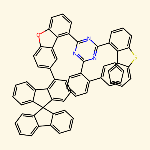 c1ccc(-c2ccccc2-c2nc(-c3cccc4oc5ccc(-c6cccc7c6-c6ccccc6C76c7ccccc7-c7ccccc76)cc5c34)nc(-c3cccc4sc5ccccc5c34)n2)cc1